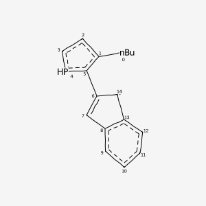 CCCCc1cc[pH]c1C1=Cc2ccccc2[CH]1